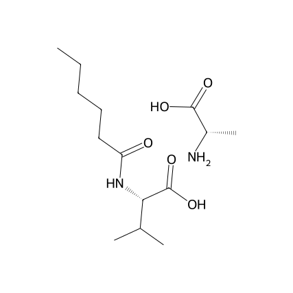 CCCCCC(=O)N[C@H](C(=O)O)C(C)C.C[C@H](N)C(=O)O